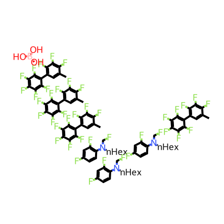 CCCCCCN(CF)c1ccc(F)cc1F.CCCCCCN(CF)c1ccc(F)cc1F.CCCCCCN(CF)c1ccc(F)cc1F.Cc1cc(-c2c(F)c(F)c(F)c(F)c2F)c(F)c(F)c1F.Cc1cc(-c2c(F)c(F)c(F)c(F)c2F)c(F)c(F)c1F.Cc1cc(-c2c(F)c(F)c(F)c(F)c2F)c(F)c(F)c1F.Cc1cc(-c2c(F)c(F)c(F)c(F)c2F)c(F)c(F)c1F.OB(O)O